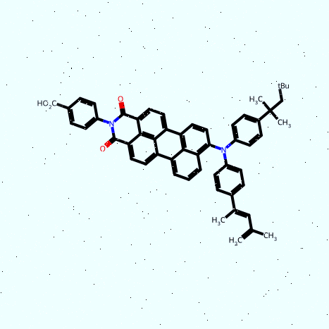 C=C(C)/C=C(\C)c1ccc(N(c2ccc(C(C)(C)CC(C)(C)C)cc2)c2ccc3c4ccc5c6c(ccc(c7cccc2c73)c64)C(=O)N(c2ccc(C(=O)O)cc2)C5=O)cc1